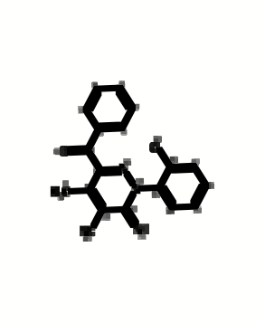 Cc1c(C(=O)c2ccccc2)nn(-c2ccccc2Cl)c(=N)c1C#N